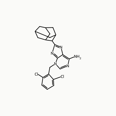 Nc1ncn(Cc2c(Cl)cccc2Cl)c2nc(C3C4CC5CC(C4)CC3C5)nc1-2